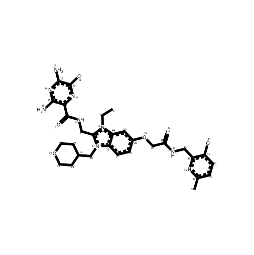 CCn1c(CNC(=O)c2nc(Cl)c(N)nc2N)[n+](CC2CCOCC2)c2ccc(OCC(=O)NCc3nc(C)ccc3[O-])cc21